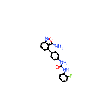 Nc1onc2cccc(-c3ccc(NC(=O)Nc4ccccc4F)cc3)c12